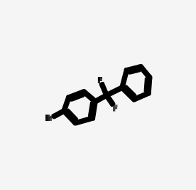 FC(F)(c1ccccc1)c1ccc(Br)cc1